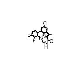 Cc1c2n(c3c(-c4ccc(F)c(F)c4F)cc(Cl)cc13)CCNC2=O